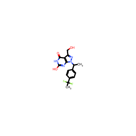 CC(c1ccc(C(C)(F)F)cc1)n1nc(CO)c2c(=O)[nH]c(O)nc21